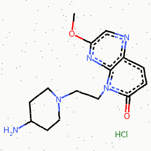 COc1cnc2ccc(=O)n(CCN3CCC(N)CC3)c2n1.Cl